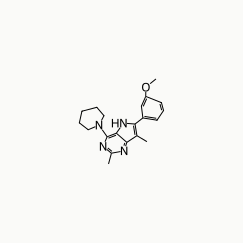 COc1cccc(-c2[nH]c3c(N4CCCCC4)nc(C)nc3c2C)c1